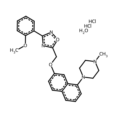 COc1ccccc1-c1noc(COc2ccc3cccc(N4CCN(C)CC4)c3c2)n1.Cl.Cl.O